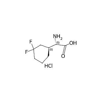 Cl.N[C@H](C(=O)O)[C@H]1CCCC(F)(F)C1